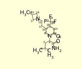 CC(C)CC(C(N)=O)n1cc(CCN2CC(C)C2)c(C(F)(F)F)cc1=O